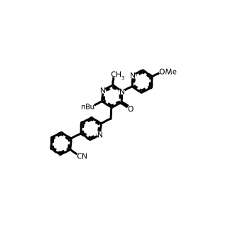 CCCCc1nc(C)n(-c2ccc(OC)cn2)c(=O)c1Cc1ccc(-c2ccccc2C#N)cn1